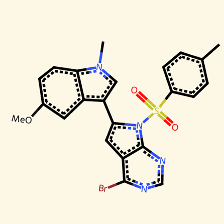 COc1ccc2c(c1)c(-c1cc3c(Br)ncnc3n1S(=O)(=O)c1ccc(C)cc1)cn2C